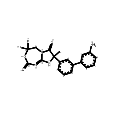 CC1(c2cccc(-c3cccc(N)c3)c2)NC2=NC(=O)OC(F)(F)CN2C1=O